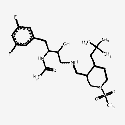 CC(=O)NC(Cc1cc(F)cc(F)c1)C(O)CNCC1CN(S(C)(=O)=O)CCC1CC(C)(C)C